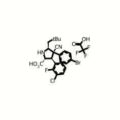 CC(C)(C)C[C@@H]1N[C@@H](C(=O)O)[C@H](c2cccc(Cl)c2F)[C@@]1(C#N)c1ccc(Br)cc1.O=C(O)C(F)(F)F